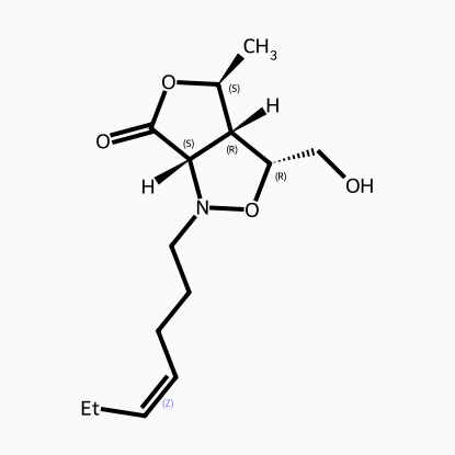 CC/C=C\CCCN1O[C@@H](CO)[C@H]2[C@H](C)OC(=O)[C@H]21